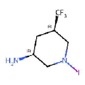 N[C@H]1C[C@@H](C(F)(F)F)CN(I)C1